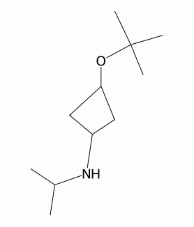 CC(C)NC1CC(OC(C)(C)C)C1